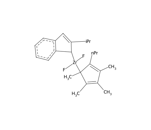 CCCC1=C(C)C(C)=C(C)[C]1(C)[Zr]([F])([F])[CH]1C(C(C)C)=Cc2ccccc21